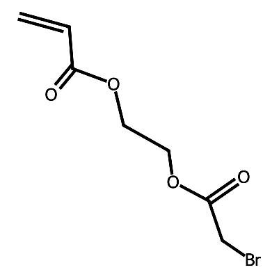 C=CC(=O)OCCOC(=O)CBr